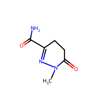 CN1N=C(C(N)=O)CCC1=O